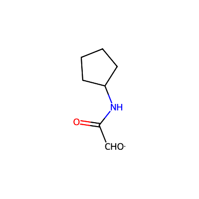 O=[C]C(=O)NC1CCCC1